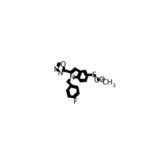 COOSc1ccc2c(c1)cc(-c1nnco1)n2Cc1ccc(F)cc1